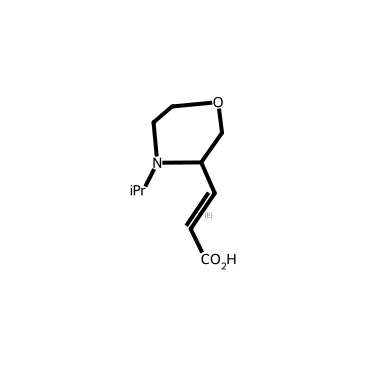 CC(C)N1CCOCC1/C=C/C(=O)O